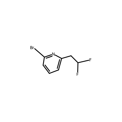 FC(F)Cc1cccc(Br)n1